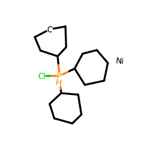 Cl[PH](C1CCCCC1)(C1CCCCC1)C1CCCCC1.[Ni]